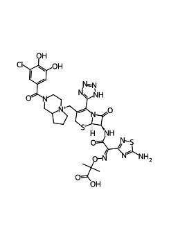 CC(C)(O/N=C(\C(=O)N[C@@H]1C(=O)N2C(c3nnn[nH]3)=C(C[N+]34CCCC3CN(C(=O)c3cc(O)c(O)c(Cl)c3)CC4)CS[C@H]12)c1nsc(N)n1)C(=O)O